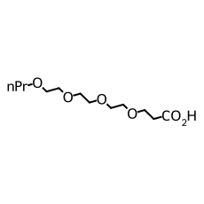 CCCOCCOCCOCCOCCC(=O)O